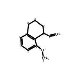 COc1cccc2c1C(C=O)CCC2